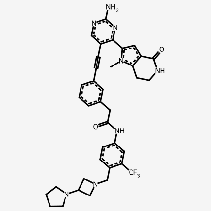 Cn1c(-c2nc(N)ncc2C#Cc2cccc(CC(=O)Nc3ccc(CN4CC(N5CCCC5)C4)c(C(F)(F)F)c3)c2)cc2c1CCNC2=O